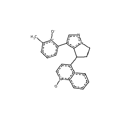 Cc1cccc(-c2cnn3c2C(c2cc[n+]([O-])c4ccccc24)CC3)[n+]1[O-]